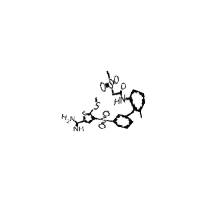 CSc1sc(C(=N)N)cc1S(=O)(=O)c1cccc(-c2c(C)cccc2NC(=O)CS(C)(=O)=O)c1